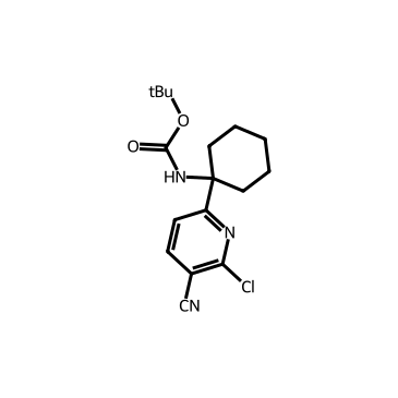 CC(C)(C)OC(=O)NC1(c2ccc(C#N)c(Cl)n2)CCCCC1